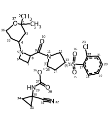 CC1(C)CC(N2CCC2C(=O)N2C[C@H](S(=O)(=O)c3ccccc3Cl)C[C@@H]2OC(=O)NC2(C#N)CC2)CCO1